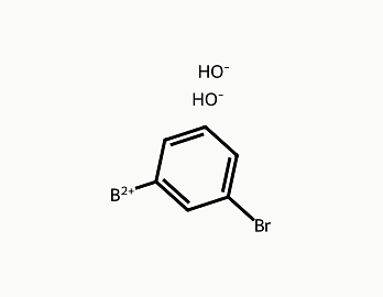 [B+2]c1cccc(Br)c1.[OH-].[OH-]